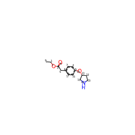 CCOC(=O)Cc1ccc(O[C@H]2CCNC2)cc1